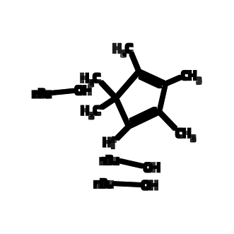 CC1=C(C)C(C)(C)[C]([Hf])=C1C.CCCCO.CCCCO.CCCCO